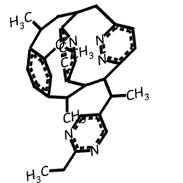 CCc1ncc(C(C)C2c3ccc(nn3)CC3CC(C)c4ccc(cc4OC)C(C)C2c2ccc3nc2)cn1